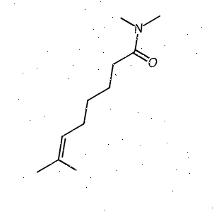 CC(C)=CCCCCC(=O)N(C)C